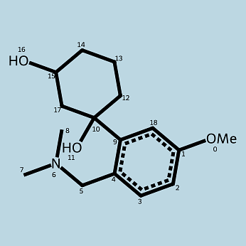 COc1ccc(CN(C)C)c(C2(O)CCCC(O)C2)c1